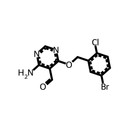 Nc1ncnc(OCc2cc(Br)ccc2Cl)c1C=O